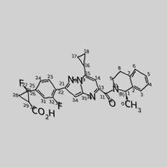 C[C@@H]1c2ccccc2CCN1C(=O)c1cc(C2CC2)n2nc(-c3ccc([C@@]4(F)CC4C(=O)O)cc3F)cc2n1